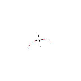 CCCCOC(CC)(OCCCC)C(=O)O